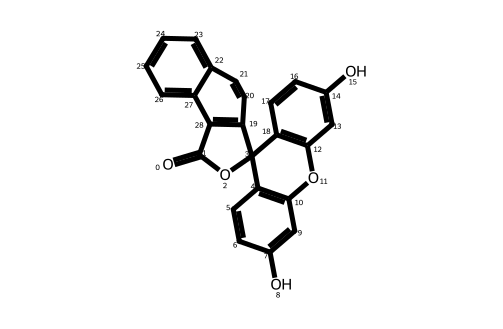 O=C1OC2(c3ccc(O)cc3Oc3cc(O)ccc32)c2ccc3ccccc3c21